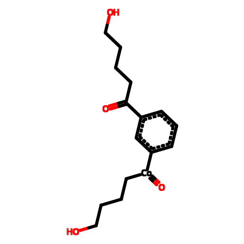 O=C(CCCCO)c1ccc[c]([Co](=[O])[CH2]CCCO)c1